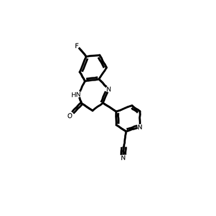 N#Cc1cc(C2=Nc3ccc(F)cc3NC(=O)C2)ccn1